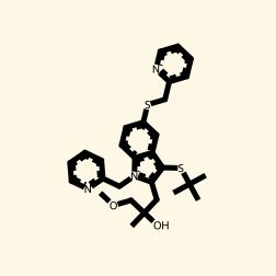 COCC(C)(O)Cc1c(SC(C)(C)C)c2cc(SCc3ccccn3)ccc2n1Cc1ccccn1